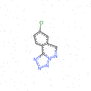 Clc1ccc2c(cnn3nnnc23)c1